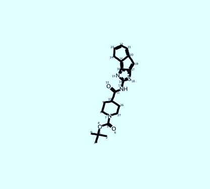 CC(C)(C)OC(=O)N1CCC(C(=O)Nc2nc3c(s2)=CC2=CC=CCC=32)CC1